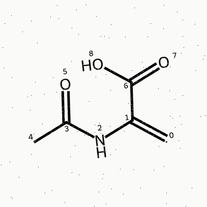 [CH]=C(NC(C)=O)C(=O)O